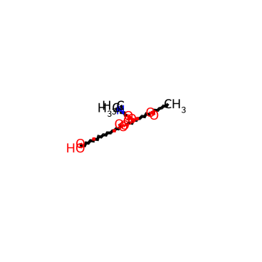 CCCCCCCC(=O)OCCCCCCCC(CCCOOC(=O)CCCCCCCCCCCCCCCCCC(=O)O)OC(=O)OCCCN(CC)CC